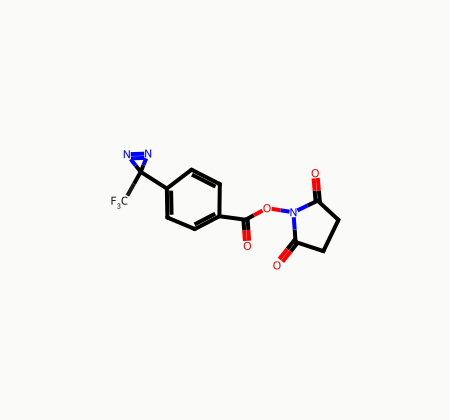 O=C(ON1C(=O)CCC1=O)c1ccc(C2(C(F)(F)F)N=N2)cc1